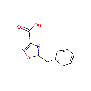 O=C(O)c1noc(Cc2ccccc2)n1